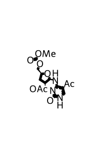 COC(=O)OC[C@@H]1C[C@@H](OC(C)=O)[C@H](Nc2nc(=O)[nH]cc2C(C)=O)O1